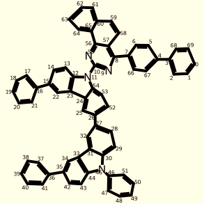 c1ccc(-c2ccc(-c3nc(-n4c5ccc(-c6ccccc6)cc5c5cc(-c6ccc7c(c6)c6cc(-c8ccccc8)ccc6n7-c6ccccc6)ccc54)nc4c3ccc3ccccc34)cc2)cc1